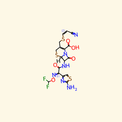 N#C/C=C\SCC1=C(C(=O)O)N2C(=O)C(NC(=O)/C(=N/OC(F)F)c3csc(N)n3)[C@H]2SC1